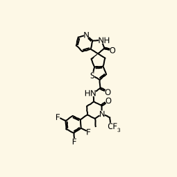 CC1C(c2cc(F)cc(F)c2F)CC(NC(=O)c2cc3c(s2)C[C@]2(C3)C(=O)Nc3ncccc32)C(=O)N1CC(F)(F)F